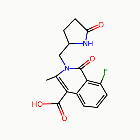 Cc1c(C(=O)O)c2cccc(F)c2c(=O)n1CC1CCC(=O)N1